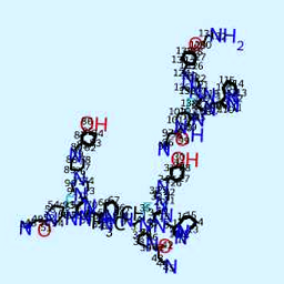 CN(C)CCN(c1nc(-c2cnn3ccccc23)nc(N2CCN(Cc3cccc(O)c3)CC2)c1F)[C@@H]1CCCN(C(=O)CC#N)C1.N#CCC(=O)N1CCC[C@@H](Nc2nc(-c3cnn4ccccc34)nc(N3CCN(C4CCN(Cc5cccc(O)c5)CC4)CC3)c2F)C1.N#CCC(=O)N1CCC[C@@H](Nc2nc(-c3cnn4ccccc34)nc(N3CCN(Cc4ccc(OCCN)cc4)CC3)c2F)C1